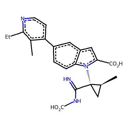 CCc1nccc(-c2ccc3c(c2)cc(C(=O)O)n3[C@@]2(C(=N)NC(=O)O)C[C@@H]2C)c1C